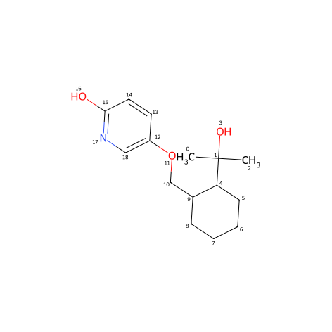 CC(C)(O)C1CCCCC1COc1ccc(O)nc1